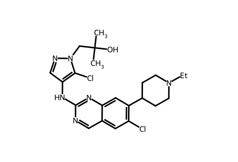 CCN1CCC(c2cc3nc(Nc4cnn(CC(C)(C)O)c4Cl)ncc3cc2Cl)CC1